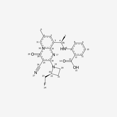 Cc1cc([C@@H](C)Nc2ccccc2C(=O)O)c2nc(N3CC[C@H]3CF)c(C#N)c(=O)n2c1